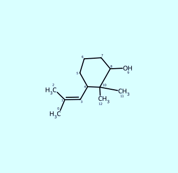 CC(C)=CC1CCCC(O)C1(C)C